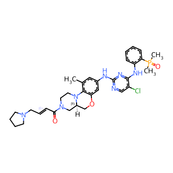 Cc1cc(Nc2ncc(Cl)c(Nc3ccccc3P(C)(C)=O)n2)cc2c1N1CCN(C(=O)/C=C/CN3CCCC3)C[C@@H]1CO2